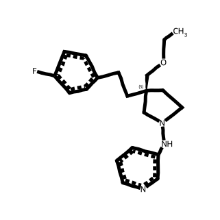 CCOC[C@@]1(CCc2ccc(F)cc2)CCN(Nc2cccnc2)C1